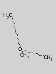 CCCCCCCCCCCCOC(C)CCCCCCCC